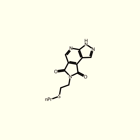 CCCSCCN1C(=O)c2cnc3[nH]ncc3c2C1=O